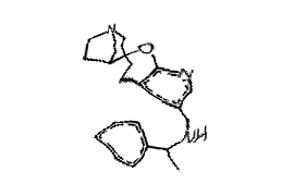 CC(Nc1cnc2c(c1)CC1(CN3CCC1CC3)O2)c1ccccc1